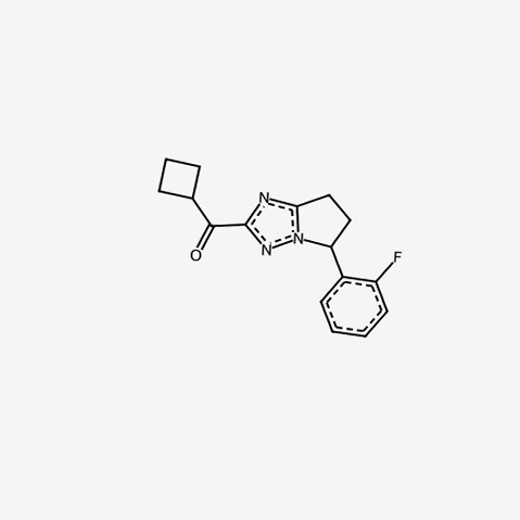 O=C(c1nc2n(n1)C(c1ccccc1F)CC2)C1CCC1